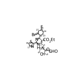 CCOC(=O)C1=C(CN2CCOC(C)C2OC=O)NC(c2nccs2)=NC1c1ccc(F)cc1Br